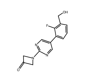 O=C1CN(c2ncc(-c3cccc(CO)c3F)cn2)C1